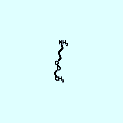 CCOOCCCN